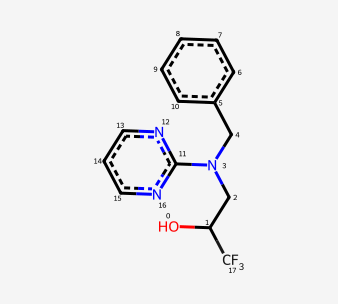 OC(CN(Cc1ccccc1)c1ncccn1)C(F)(F)F